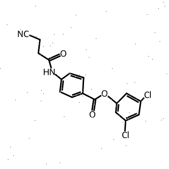 N#CCCC(=O)Nc1ccc(C(=O)Oc2cc(Cl)cc(Cl)c2)cc1